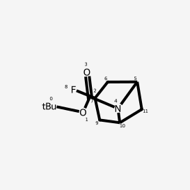 CC(C)(C)OC(=O)N1C2CC(F)CC1C2